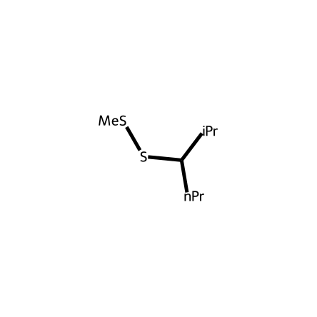 CCCC(SSC)C(C)C